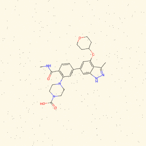 CNC(=O)c1ccc(-c2cc(OC3CCOCC3)c3c(C)n[nH]c3c2)cc1N1CCN(C(=O)O)CC1